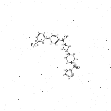 O=C(c1ccc(-c2cccc(C(F)(F)F)c2)cc1)N1CC(N2CCN(C(=O)c3nccs3)CC2)C1